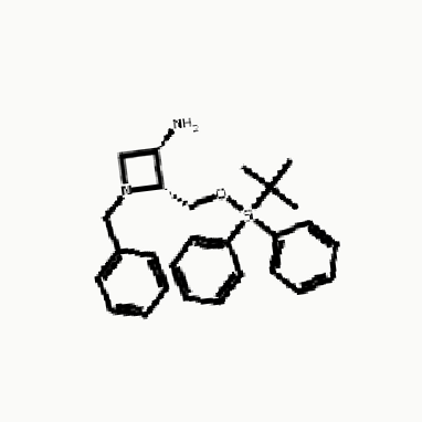 CC(C)(C)[Si](OC[C@H]1[C@H](N)CN1Cc1ccccc1)(c1ccccc1)c1ccccc1